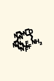 NCCC1CN(c2ccnc(-c3cnc4cnc(C(F)(F)F)cn34)n2)CCO1